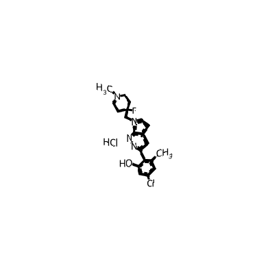 Cc1cc(Cl)cc(O)c1-c1cc2ccn(CC3(F)CCN(C)CC3)c2nn1.Cl